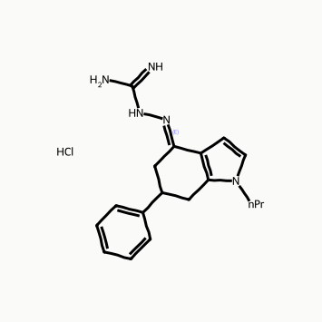 CCCn1ccc2c1CC(c1ccccc1)C/C2=N\NC(=N)N.Cl